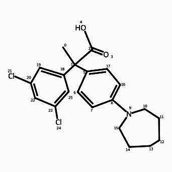 CC(C(=O)O)(c1ccc(N2CCCCCC2)cc1)c1cc(Cl)cc(Cl)c1